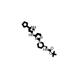 CC(C)(C)OC(=O)NC[C@H]1CCCN(c2nccc(Nc3cc(C4CCCC4)[nH]n3)n2)C1